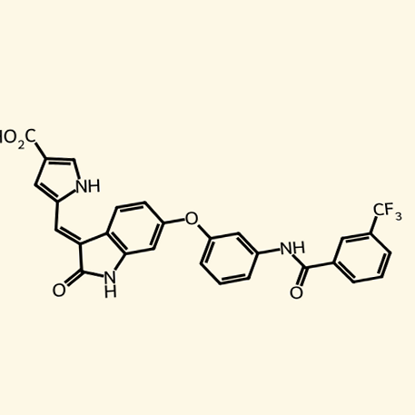 O=C1Nc2cc(Oc3cccc(NC(=O)c4cccc(C(F)(F)F)c4)c3)ccc2C1=Cc1cc(C(=O)O)c[nH]1